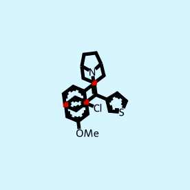 COc1cccc(C(=C2CC3CCC(C2)N3Cc2ccccc2Cl)c2ccsc2)c1